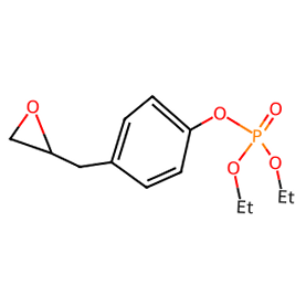 CCOP(=O)(OCC)Oc1ccc(CC2CO2)cc1